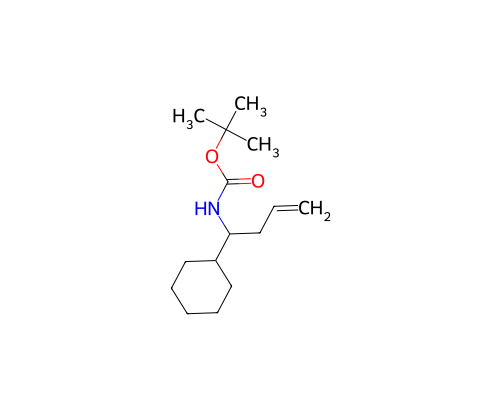 C=CCC(NC(=O)OC(C)(C)C)C1CCCCC1